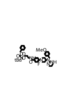 COc1ccc(CN(C2=NCCCN2)C2CCN(c3ccc(C(=O)NCCC(=O)ON(C(=O)OCc4ccccc4)C(C)(C)C)cc3F)CC2)cc1